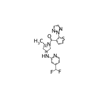 C[C@@H]1C[C@@H](Nc2cc(C(F)F)ccn2)CN1C(=O)c1ccsc1-n1nccn1